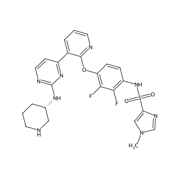 Cn1cnc(S(=O)(=O)Nc2ccc(Oc3ncccc3-c3ccnc(N[C@H]4CCCNC4)n3)c(F)c2F)c1